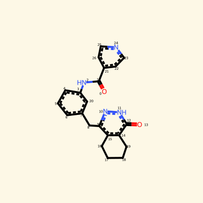 O=C(Nc1cccc(Cc2n[nH]c(=O)c3c2CCCC3)c1)c1ccncc1